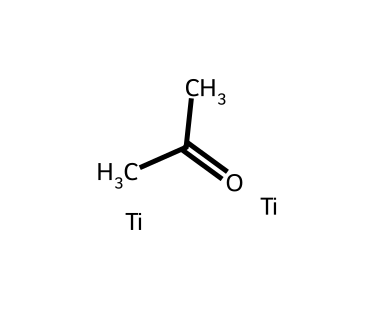 CC(C)=O.[Ti].[Ti]